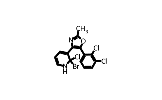 Cc1nc(C2=CC=CNC2(Cl)Br)c(-c2cccc(Cl)c2Cl)o1